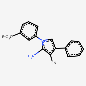 CCOC(=O)c1cccc(-n2cc(-c3ccccc3)c(C#N)c2N)c1